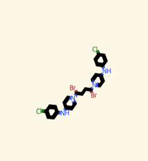 Clc1ccc(Nc2cc[n+](C(Br)CCC(Br)[n+]3ccc(Nc4ccc(Cl)cc4)cc3)cc2)cc1